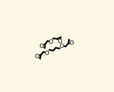 C(CCOCC1CO1)COCC1CO1.C(OCC1CO1)C1CO1